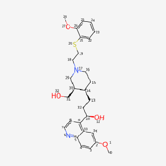 COc1ccc2nccc([C@H](O)CC[C@@H]3CCN(CCSc4ccccc4OC)C[C@@H]3CO)c2c1